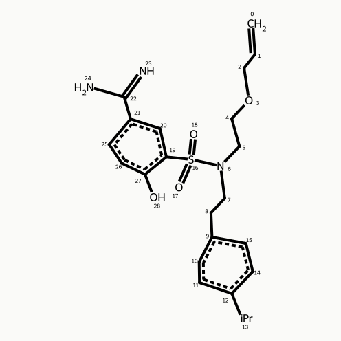 C=CCOCCN(CCc1ccc(C(C)C)cc1)S(=O)(=O)c1cc(C(=N)N)ccc1O